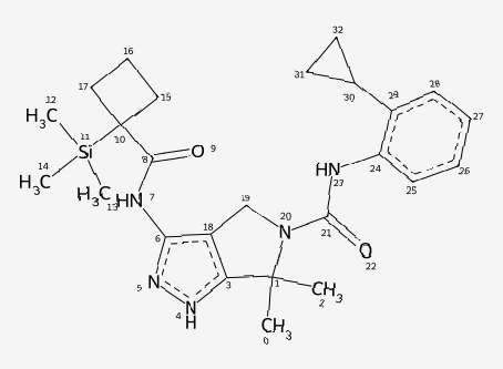 CC1(C)c2[nH]nc(NC(=O)C3([Si](C)(C)C)CCC3)c2CN1C(=O)Nc1ccccc1C1CC1